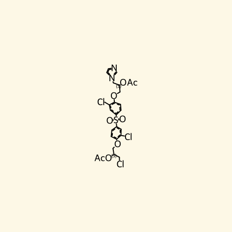 CC(=O)O[C@H](CCl)COc1ccc(S(=O)(=O)c2ccc(OC[C@H](Cn3ccnc3)OC(C)=O)c(Cl)c2)cc1Cl